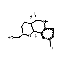 OC[C@H]1CC[C@H]2[C@H](I)Nc3ccc(Cl)cc3[C@H]2O1